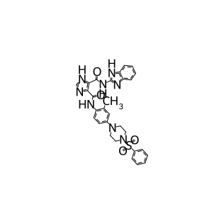 Cc1cc(N2CCN(S(=O)(=O)c3ccccc3)CC2)ccc1NC(=O)c1nc[nH]c1C(=O)Nc1nc2ccccc2[nH]1